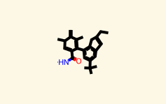 C=C1C(C)=C(c2cc(C(C)(C)C)cc3c2CC(CC)=C3)C(C([NH])=O)=CC1C